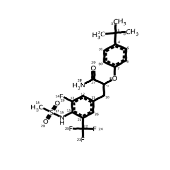 CC(C)(C)c1ccc(OC(Cc2cc(F)c(NS(C)(=O)=O)c(C(F)(F)F)c2)C(N)=O)cc1